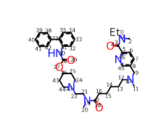 CCN(C)C(=O)c1ccc(CN(C)CCCCCC(=O)N(C)CCN2CCC(OC(=O)Nc3ccccc3-c3ccccc3)CC2)cn1